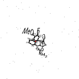 COc1ccc(N2C(=O)CC(OC(N)=O)C2Cc2ccccc2)cc1F